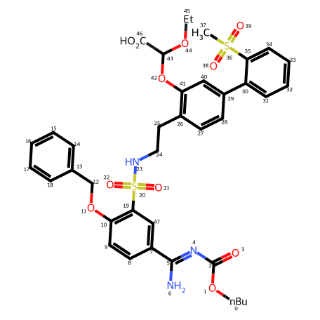 CCCCOC(=O)N=C(N)c1ccc(OCc2ccccc2)c(S(=O)(=O)NCCc2ccc(-c3ccccc3S(C)(=O)=O)cc2OC(OCC)C(=O)O)c1